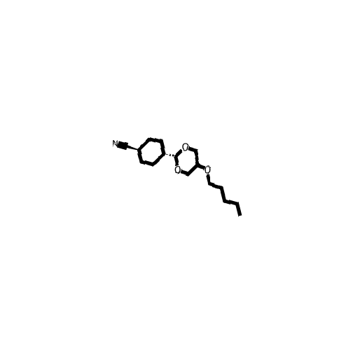 CCCCCOC1COC([C@H]2CC[C@H](C#N)CC2)OC1